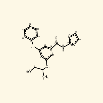 C[C@@H](CO)Oc1cc(Sc2ccncc2)cc(C(=O)Nc2nccs2)c1